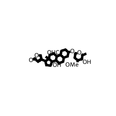 COC1CC(OC2CCC3(C=O)C(CCC4C3CCC3(C)C(C5=CC(=O)OC5)CCC43O)C2)OC(C)C1O